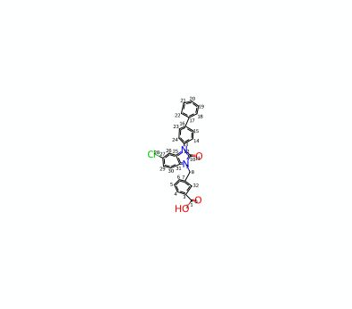 O=C(O)c1cccc(Cn2c(=O)n(-c3ccc(-c4ccccc4)cc3)c3cc(Cl)ccc32)c1